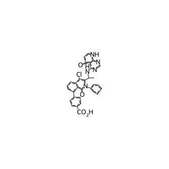 CC(Nc1ncnc2[nH]ccc(=O)c12)c1c(Cl)c2cccc(-c3ccc(C(=O)O)cc3)c2c(=O)n1-c1ccccc1